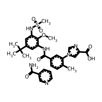 COc1c(NC(=O)c2ccc(C)c(-n3cnc(C(=O)O)c3)c2)cc(C(C)(C)C)cc1NS(C)(=O)=O.NC(=O)c1cccnc1